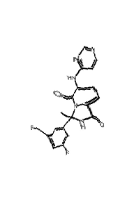 CC1(c2cc(F)cc(F)c2)NC(=O)c2ccc(Nc3ccncn3)c(=O)n21